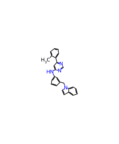 Cc1ccccc1-c1cc(Nc2cccc(Cn3ccc4ccccc43)c2)ncn1